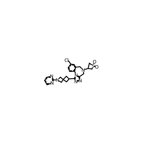 O=S1(=O)CC(N2Cc3cc(Cl)ccc3-n3c(nnc3C3CC4(C3)CN(c3ncccn3)C4)C2)C1